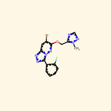 Cn1ncnc1COc1nn2c(-c3ccccc3F)nnc2cc1Br